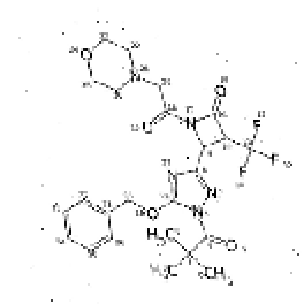 CC(C)(C)C(=O)n1nc(C2C(C(F)(F)F)C(=O)N2C(=O)CN2CCOCC2)nc1OCc1ccccc1